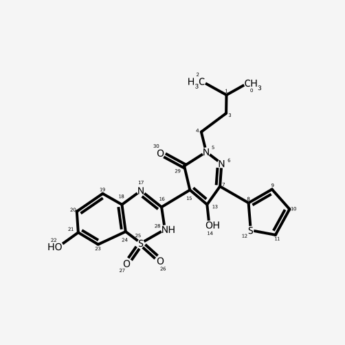 CC(C)CCn1nc(-c2cccs2)c(O)c(C2=Nc3ccc(O)cc3S(=O)(=O)N2)c1=O